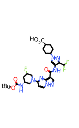 CC(C)(C)OC(=O)N[C@@H]1C[C@@H](F)CN(c2ccn3ncc(C(=O)Nc4cn(C5CCC(C(=O)O)CC5)nc4C(F)F)c3n2)C1